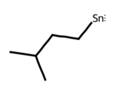 CC(C)C[CH2][Sn]